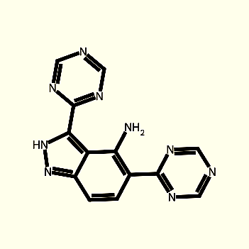 Nc1c(-c2ncncn2)ccc2n[nH]c(-c3ncncn3)c12